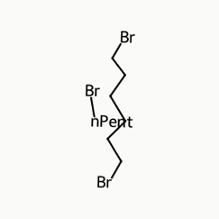 BrCCCCCCBr.CCCCCBr